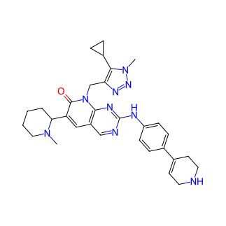 CN1CCCCC1c1cc2cnc(Nc3ccc(C4=CCNCC4)cc3)nc2n(Cc2nnn(C)c2C2CC2)c1=O